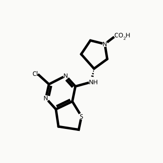 O=C(O)N1CC[C@@H](Nc2nc(Cl)nc3c2SCC3)C1